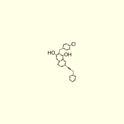 Oc1cc2ccc(C#CCc3ccccc3)cc2c(O)c1Cc1ccc(Cl)cc1